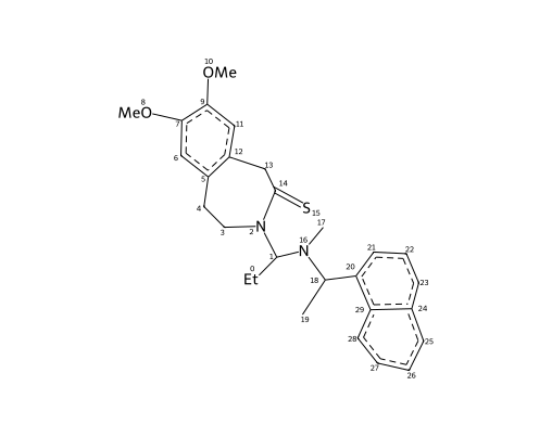 CCC(N1CCc2cc(OC)c(OC)cc2CC1=S)N(C)C(C)c1cccc2ccccc12